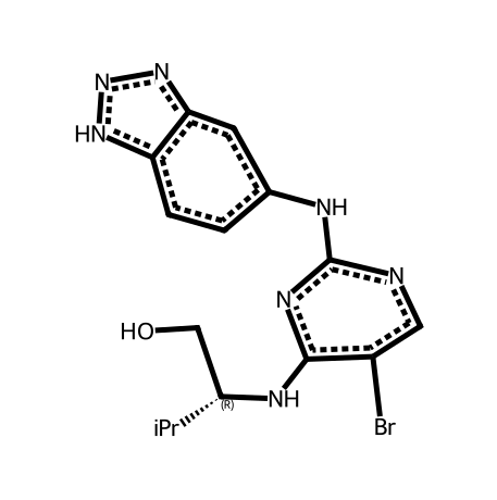 CC(C)[C@H](CO)Nc1nc(Nc2ccc3[nH]nnc3c2)ncc1Br